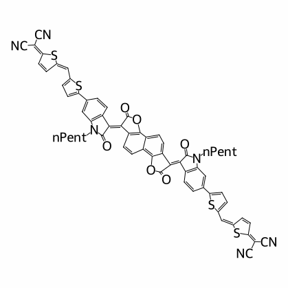 CCCCCN1C(=O)/C(=C2/C(=O)Oc3c2ccc2c4c(ccc32)/C(=C2\C(=O)N(CCCCC)c3cc(-c5ccc(/C=c6\ccc(=C(C#N)C#N)s6)s5)ccc32)C(=O)O4)c2ccc(-c3ccc(/C=c4\ccc(=C(C#N)C#N)s4)s3)cc21